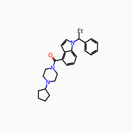 CCC(c1ccccc1)n1ccc2c(C(=O)N3CCN(C4CCCC4)CC3)cccc21